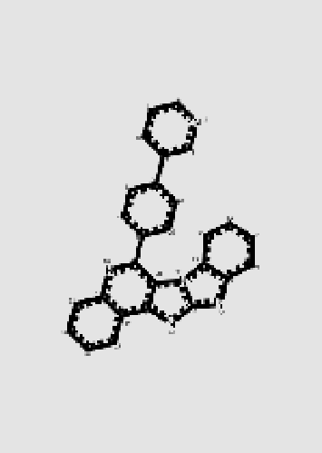 c1cncc(-c2ccc(-c3nc4ccccc4c4nc5sc6ccccc6n5c34)cc2)c1